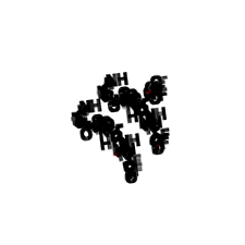 CCc1cc(Nc2nccn3c(-c4ccc(OC)c(F)c4F)cnc23)ccc1C(=O)N[C@@H](CNC(=O)C1CC[N+](C)(CC2CNC2)CC1)C(=O)OC.CCc1cc(Nc2nccn3c(-c4ccc(OC)c(F)c4F)cnc23)ccc1C(=O)N[C@@H](CNC(=O)C1CC[N+](C)(CC2CNC2)CC1)C(=O)OC.O=C([O-])C(F)(F)F.O=C[O-]